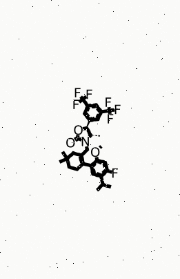 COc1cc(F)c(C(C)C)cc1C1=C(CN2C(=O)O[C@@H](c3cc(C(F)(F)F)cc(C(F)(F)F)c3)[C@@H]2C)CC(C)(C)CC1